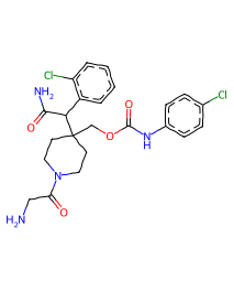 NCC(=O)N1CCC(COC(=O)Nc2ccc(Cl)cc2)(C(C(N)=O)c2ccccc2Cl)CC1